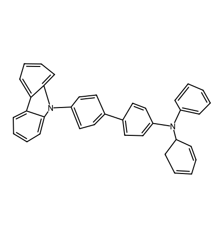 C1=CCC(N(c2ccccc2)c2ccc(-c3ccc(-n4c5ccccc5c5ccccc54)cc3)cc2)C=C1